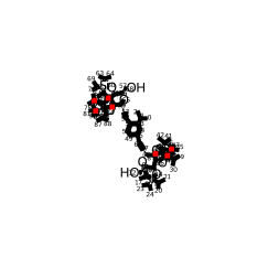 CC(C)c1cc(C#C[C@H]2O[C@H](CO)[C@@H](O[Si](C(C)C)(C(C)C)C(C)C)[C@@H](O[Si](C(C)C)(C(C)C)C(C)C)[C@@H]2O[Si](C(C)C)(C(C)C)C(C)C)ccc1C#C[C@H]1O[C@H](CO)[C@@H](O[Si](C(C)C)(C(C)C)C(C)C)[C@H](O[Si](C(C)C)(C(C)C)C(C)C)[C@@H]1O[Si](C(C)C)(C(C)C)C(C)C